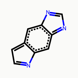 C1=Nc2cc3c(cc2=C1)N=CN=3